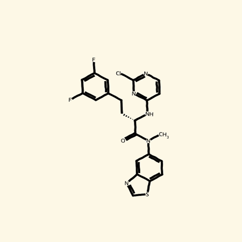 CN(C(=O)[C@H](CCc1cc(F)cc(F)c1)Nc1ccnc(Cl)n1)c1ccc2scnc2c1